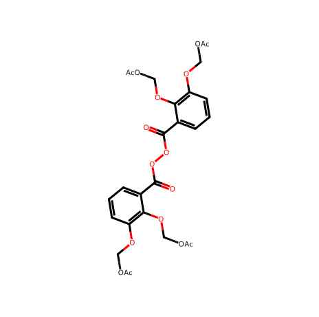 CC(=O)OCOc1cccc(C(=O)OOC(=O)c2cccc(OCOC(C)=O)c2OCOC(C)=O)c1OCOC(C)=O